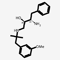 COc1cccc(CC(C)(C)NC[C@@H](O)[C@@H](N)Cc2ccccc2)c1